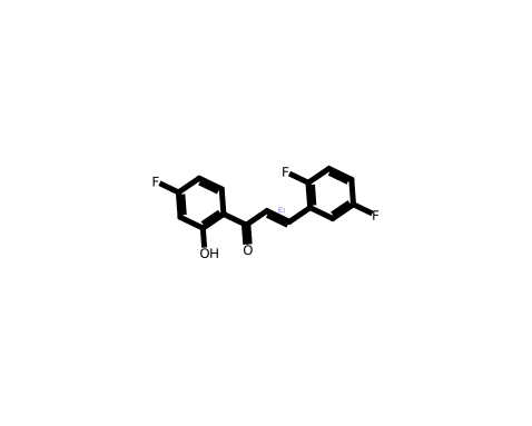 O=C(/C=C/c1cc(F)ccc1F)c1ccc(F)cc1O